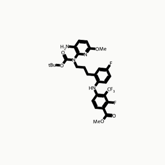 COC(=O)c1ccc(Nc2ccc(F)cc2CCCN(C(=O)OC(C)(C)C)c2nc(OC)ccc2N)c(C(F)(F)F)c1F